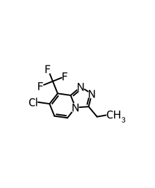 CCc1nnc2c(C(F)(F)F)c(Cl)ccn12